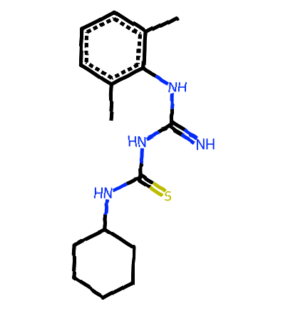 Cc1cccc(C)c1NC(=N)NC(=S)NC1CCCCC1